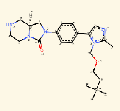 Cc1ncc(-c2ccc(N3C[C@@H]4CNCCN4C3=O)cc2)n1COCC[Si](C)(C)C